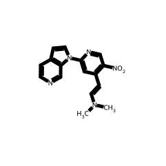 CN(C)C=Cc1cc(-n2ccc3ccncc32)ncc1[N+](=O)[O-]